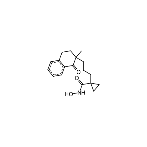 CC1(CCCC2(C(=O)NO)CC2)CCc2ccccc2C1=O